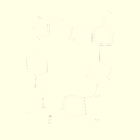 COc1cc(C(=O)N(C)CCN2CCOCC2)ccc1Nc1ncc(-c2ccc(C#N)c(OC(C)Cn3cncn3)c2)cn1